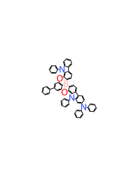 c1ccc(-c2cc3c4c(c2)Oc2c(ccc5c6ccc(N(c7ccccc7)c7ccccc7)cc6n(-c6ccccc6)c25)B4c2ccc4c5ccccc5n(-c5ccccc5)c4c2O3)cc1